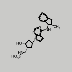 C[C@@H]1Cc2ccccc2[C@@H]1Nc1ncnc2c1ccn2[C@H]1C[C@H](CNS(=O)(=O)O)[C@H](O)C1